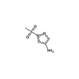 CS(=O)(=O)n1cc(N)cn1